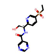 CCS(=O)(=O)c1ccc([C@H](CO)NC(=O)c2cncnc2)nc1